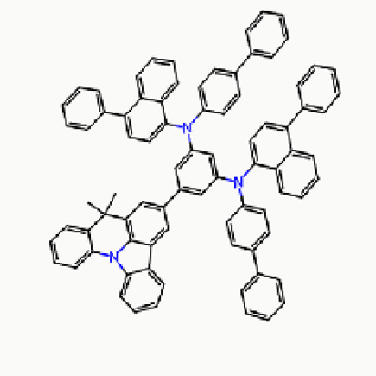 CC1(C)c2ccccc2-n2c3ccccc3c3cc(-c4cc(N(c5ccc(-c6ccccc6)cc5)c5ccc(-c6ccccc6)c6ccccc56)cc(N(c5ccc(-c6ccccc6)cc5)c5ccc(-c6ccccc6)c6ccccc56)c4)cc1c32